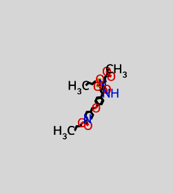 CCCCOC(=O)N1CCC(COc2ccc(C3CC(N(CCC(=O)OC)S(=O)(=O)CCCC)ON3)cc2)CC1